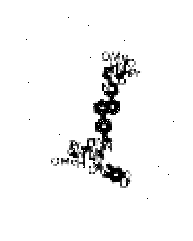 COC(=O)N[C@H](C(=O)N1CCC[C@H]1C1=NC=C(c2cccc3c(-c4ccc(-c5cnc([C@@H]6CN(C(=O)N7Cc8cc9c(cc8C7)OCO9)CN6C(=O)[C@@H](NC(=O)OC)C(C)C)[nH]5)cc4)cccc23)CC1)C(C)C